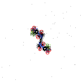 CC1(C)C(=O)N(c2ccc([N+](=O)[O-])c(C(F)(F)F)c2)C(=O)N1CCCCN1C(=O)N(c2ccc([N+](=O)[O-])c(C(F)(F)F)c2)C(=O)C1(C)C